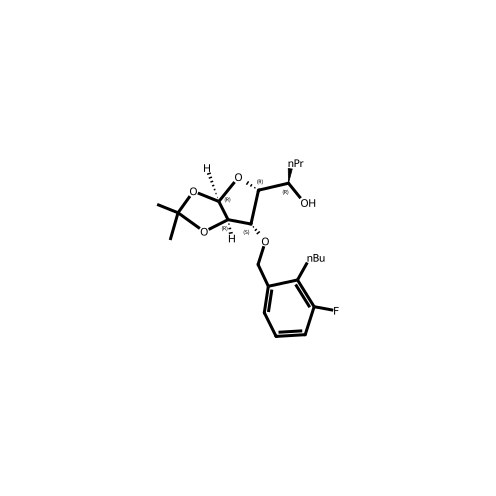 CCCCc1c(F)cccc1CO[C@@H]1[C@H]2OC(C)(C)O[C@H]2O[C@@H]1[C@H](O)CCC